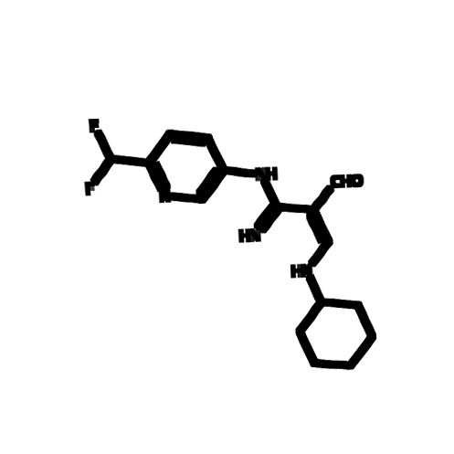 N=C(Nc1ccc(C(F)F)nc1)/C(C=O)=C\NC1CCCCC1